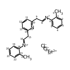 Cc1ccccc1N=CCc1cccc(CC=Nc2ccccc2C)n1.[Cl-].[Cl-].[Fe+2]